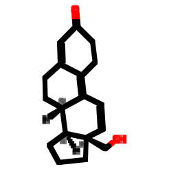 O=C1C=C2CC[C@@H]3C(=C2CC1)C=C[C@]1(CO)CCC[C@@H]31